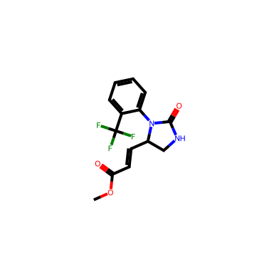 COC(=O)C=CC1CNC(=O)N1c1ccccc1C(F)(F)F